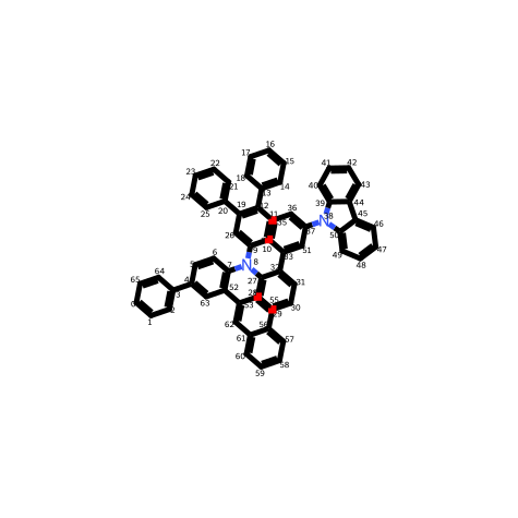 c1ccc(-c2ccc(N(c3ccc(-c4ccccc4)c(-c4ccccc4)c3)c3ccccc3-c3cccc(-n4c5ccccc5c5ccccc54)c3)c(-c3ccc4ccccc4c3)c2)cc1